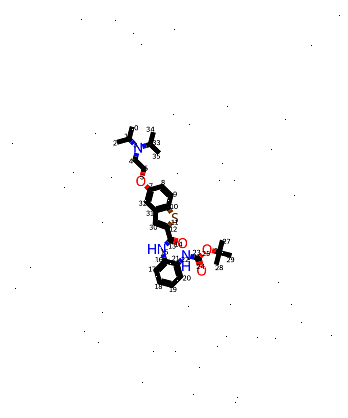 CC(C)N(CCOc1ccc2sc(C(=O)Nc3ccccc3NC(=O)OC(C)(C)C)cc2c1)C(C)C